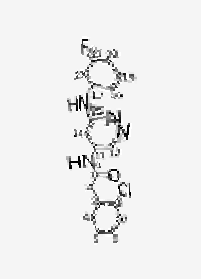 O=C(Cc1ccccc1Cl)Nc1cnnc(Nc2cccc(F)c2)c1